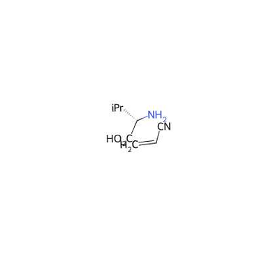 C=CC#N.CC(C)[C@H](N)C(=O)O